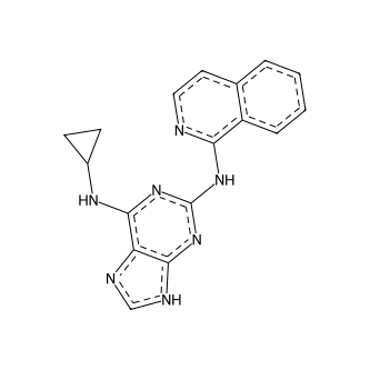 c1ccc2c(Nc3nc(NC4CC4)c4nc[nH]c4n3)nccc2c1